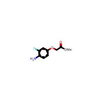 COC(=O)COc1ccc(N)c(F)c1